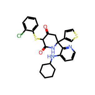 O=C1CC(c2ccsc2)(c2ncccc2NC2CCCCC2)NC(=O)C1Sc1ccccc1Cl